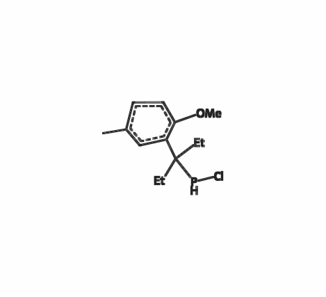 CCC(CC)(PCl)c1cc(C)ccc1OC